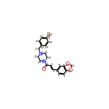 O=C(C=Cc1ccc2c(c1)OCO2)N1CCN(Cc2ccc(Br)cc2)CC1